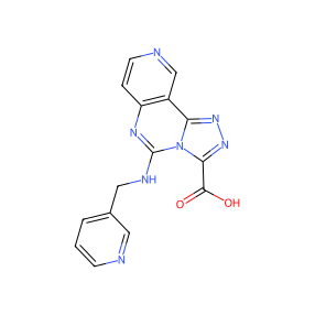 O=C(O)c1nnc2c3cnccc3nc(NCc3cccnc3)n12